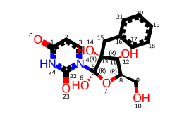 O=c1ccn([C@]2(O)O[C@H](CO)[C@@H](O)[C@]2(O)Cc2ccccc2)c(=O)[nH]1